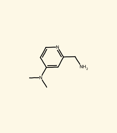 CN(C)c1ccnc(CN)c1